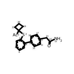 CC(=O)C1(Sc2ccccc2-c2ccc(CC(N)=O)cc2)CCC1